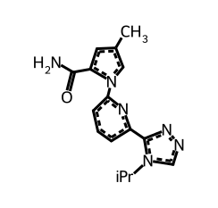 Cc1cc(C(N)=O)n(-c2cccc(-c3nncn3C(C)C)n2)c1